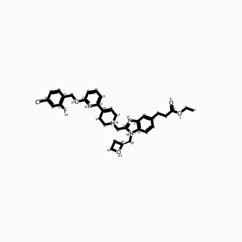 CCOC(=O)CCc1ccc2c(c1)nc(CN1CC=C(c3cccc(OCc4ccc(Cl)cc4F)n3)CC1)n2C[C@@H]1CCO1